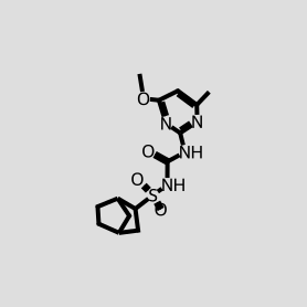 COc1cc(C)nc(NC(=O)NS(=O)(=O)C2CC3CCC2C3)n1